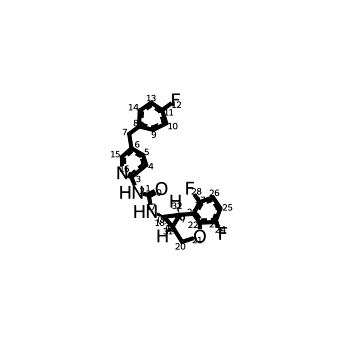 O=C(Nc1ccc(Cc2ccc(F)cc2)cn1)N[C@@H]1[C@@H]2COc3c(F)ccc(F)c3[C@@H]21